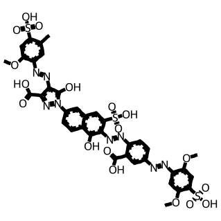 COc1cc(S(=O)(=O)O)c(OC)cc1/N=N/c1ccc(/N=N/c2c(S(=O)(=O)O)cc3cc(-n4nc(C(=O)O)c(/N=N/c5cc(C)c(S(=O)(=O)O)cc5OC)c4O)ccc3c2O)c(C(=O)O)c1